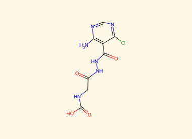 Nc1ncnc(Cl)c1C(=O)NNC(=O)CNC(=O)O